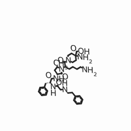 CC1C[C@@H](NC(=O)[C@@H](Cc2ccccc2)NC(=O)CNCCc2ccccc2)C(=O)N1C(CCCCN)C(=O)N1CCC(N)(C(=O)O)CC1